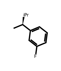 CC(C)[C@H](C)c1cccc(F)c1